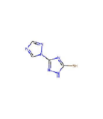 Sc1nc(-n2cncn2)n[nH]1